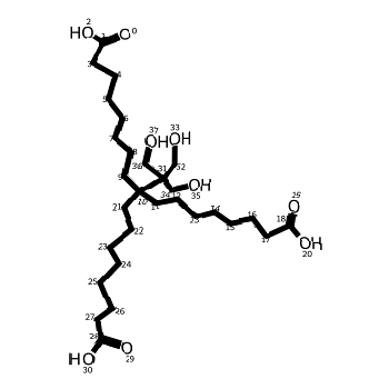 O=C(O)CCCCCCCC(CCCCCCCC(=O)O)(CCCCCCCC(=O)O)C(CO)(CO)CO